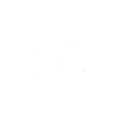 O=C(c1ccccc1O)c1[nH]c(Cl)c(Cl)c1-n1c(Cl)c(Cl)c(Br)c1C(=O)c1ccccc1O